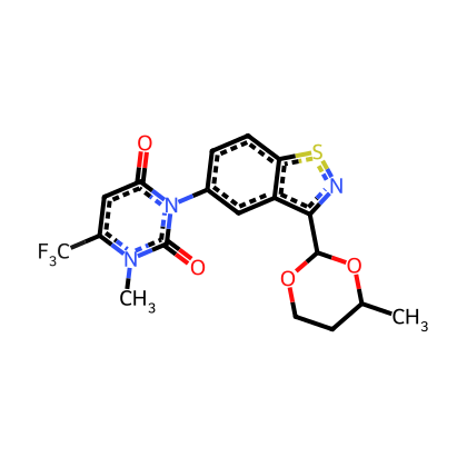 CC1CCOC(c2nsc3ccc(-n4c(=O)cc(C(F)(F)F)n(C)c4=O)cc23)O1